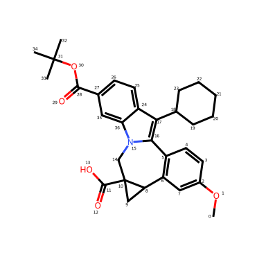 COc1ccc2c(c1)C1CC1(C(=O)O)Cn1c-2c(C2CCCCC2)c2ccc(C(=O)OC(C)(C)C)cc21